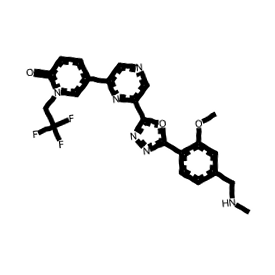 CNCc1ccc(-c2nnc(-c3cncc(-c4ccc(=O)n(CC(F)(F)F)c4)n3)o2)c(OC)c1